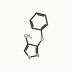 Cc1csnc1Oc1ccccc1